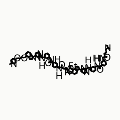 CCOc1c(CN(C)C/C=C/C(=O)Nc2ccc(C(=O)Nc3cccc(Nc4nccc(-n5ccc6c(OCCOc7ccc(C)nc7)cccc65)n4)c3)cc2)ccc2c1ccn2-c1ccnc(Nc2cccc(NC(=O)c3cccc(NC(=O)/C=C/CN(C)C)c3)c2)n1